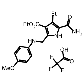 CCOC(=O)c1c(CNc2ccc(OC)cc2)[nH]c(C(N)=O)c1CC.O=C(O)C(F)(F)F